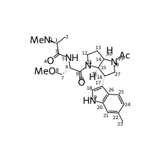 CN[C@@H](C)C(=O)N[C@@H](COC)C(=O)N1CC[C@@H]2[C@H]1[C@@H](c1c[nH]c3cc(C)ccc13)CN2C(C)=O